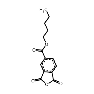 CCCCCOC(=O)c1ccc2c(c1)C(=O)OC2=O